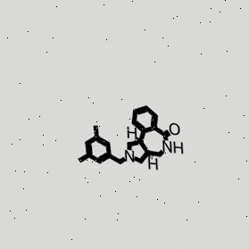 Cc1cc(C)cc(CN2C[C@H]3CNC(=O)c4ccccc4[C@@H]3C2)c1